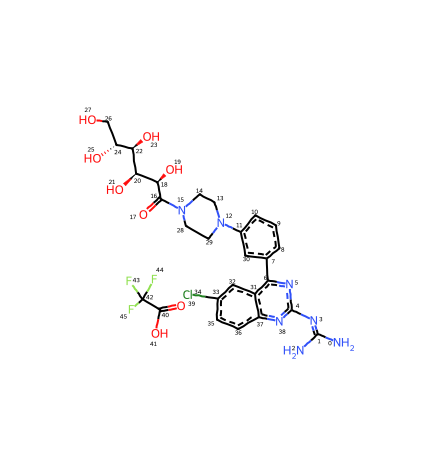 NC(N)=Nc1nc(-c2cccc(N3CCN(C(=O)[C@H](O)[C@@H](O)[C@H](O)[C@H](O)CO)CC3)c2)c2cc(Cl)ccc2n1.O=C(O)C(F)(F)F